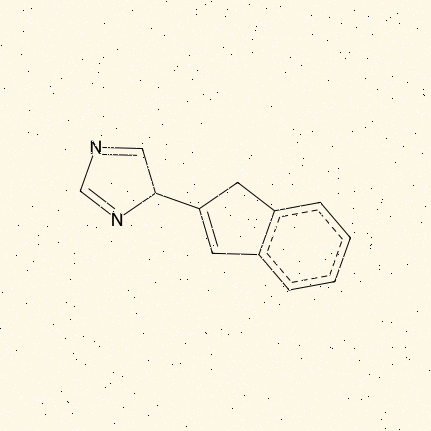 C1=NC=NC1C1=Cc2ccccc2C1